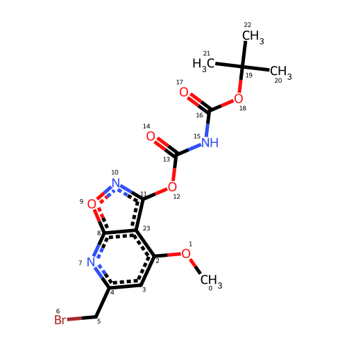 COc1cc(CBr)nc2onc(OC(=O)NC(=O)OC(C)(C)C)c12